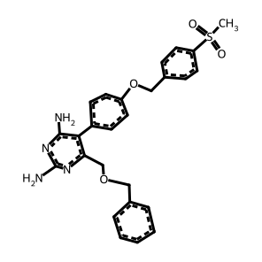 CS(=O)(=O)c1ccc(COc2ccc(-c3c(N)nc(N)nc3COCc3ccccc3)cc2)cc1